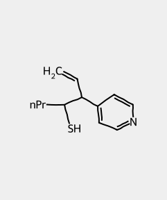 C=CC(c1ccncc1)C(S)CCC